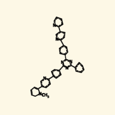 CN1CC=CC=C1c1ccc(-c2ccc(-c3nc(-c4ccccc4)nc(-c4ccc(-c5ccc(-c6ccccn6)cn5)cc4)n3)cc2)nc1